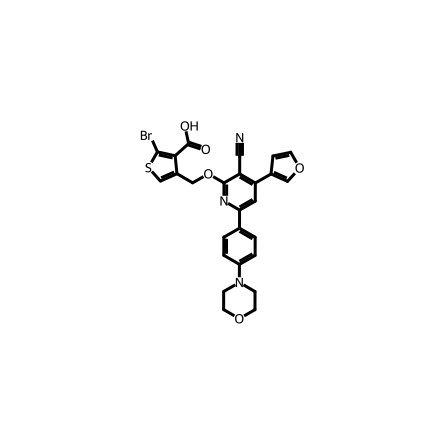 N#Cc1c(-c2ccoc2)cc(-c2ccc(N3CCOCC3)cc2)nc1OCc1csc(Br)c1C(=O)O